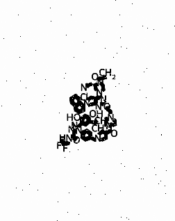 C=CC(=O)N1CCN(c2nc(OCCN3CCN(C(=O)C4CCN(Cc5ccc(-n6c(C(=O)NCC(F)(F)F)nnc6-c6cc(C(C)C)c(O)cc6O)cc5)CC4)CC3)nc3c2CCN(c2cccc4cccc(Cl)c24)C3)C[C@@H]1CC#N